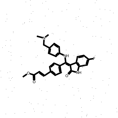 COC(=O)C=Cc1ccc(C(Nc2ccc(CN(C)C)cc2)=C2C(=O)Nc3cc(F)ccc32)cc1